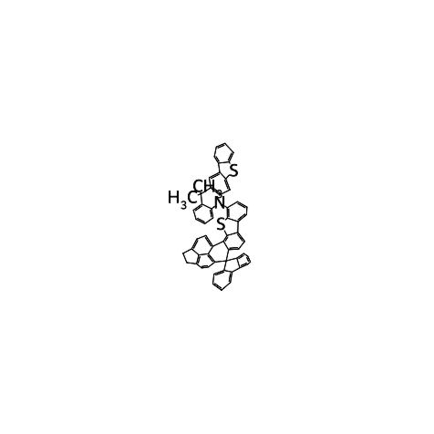 CC1(C)c2ccccc2N(c2cccc3c2sc2c4c(ccc23)C2(c3ccccc3-c3ccccc32)c2ccc3c5c(ccc-4c25)CC3)c2cc3sc4ccccc4c3cc21